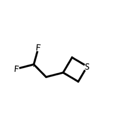 F[C](F)CC1CSC1